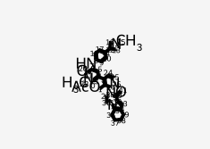 CC(=O)OCc1c(-c2cc(Nc3ccc(C4CN(C)C4)cc3)c(=O)n(C)c2)ccnc1N1CCn2c(cc3c2CCCC3)C1=O